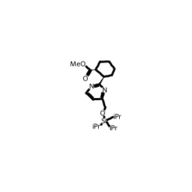 COC(=O)[C@@H]1CCCC[C@H]1c1nccc(CO[Si](C(C)C)(C(C)C)C(C)C)n1